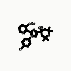 COc1cccnc1-c1nc(C2(O)CC(C)(C)OC(C)(C)C2)cn1-c1ccc(Cl)cc1